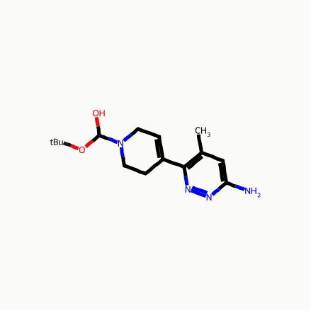 Cc1cc(N)nnc1C1=CCN(C(O)OC(C)(C)C)CC1